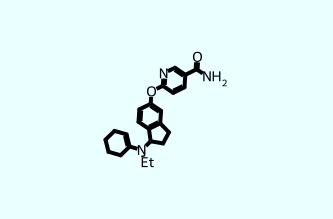 CCN(C1=CCCCC1)C1CCc2cc(Oc3ccc(C(N)=O)cn3)ccc21